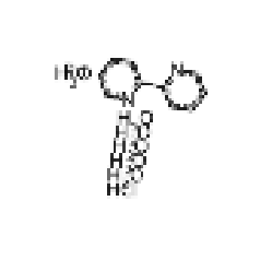 Cl.O.O.O.O.O.O.[Ru].c1ccc(-c2ccccn2)nc1